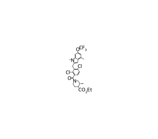 CCOC(=O)[C@H]1CCN(C(=O)c2ccc(Cl)c(Cc3cc4c(C)cc(OC(F)(F)F)cc4n3C)c2Cl)C[C@H]1C